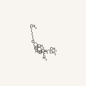 CCCCCCCCCO[C@H]1CC[C@@]2(C)C(CC[C@H]3[C@@H]4CC[C@H]([C@H](C)CCCC(C)C)[C@@]4(C)CC[C@@H]32)C1